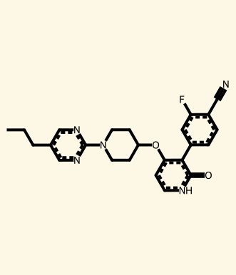 CCCc1cnc(N2CCC(Oc3cc[nH]c(=O)c3-c3ccc(C#N)c(F)c3)CC2)nc1